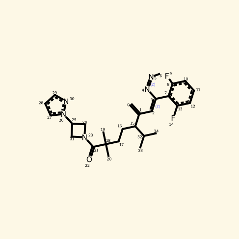 C=C(/C=C(\N=N/C)c1c(F)cccc1F)C(CCC(C)(C)C(=O)N1CC(n2cccn2)C1)C(C)C